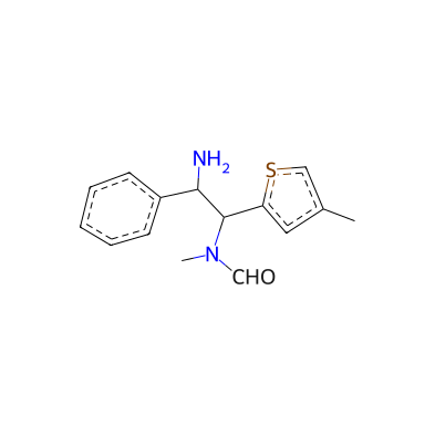 Cc1csc(C(C(N)c2ccccc2)N(C)C=O)c1